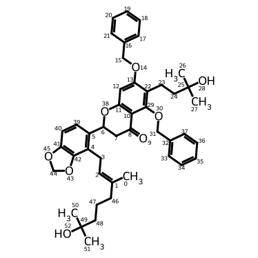 C/C(=C\Cc1c(C2CC(=O)c3c(cc(OCc4ccccc4)c(CCC(C)(C)O)c3OCc3ccccc3)O2)ccc2c1OCO2)CCCC(C)(C)O